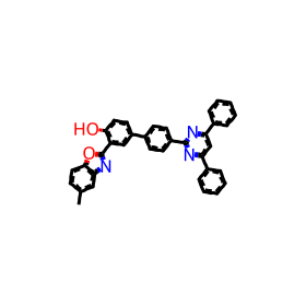 Cc1ccc2oc(-c3cc(-c4ccc(-c5nc(-c6ccccc6)cc(-c6ccccc6)n5)cc4)ccc3O)nc2c1